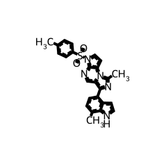 Cc1ccc(S(=O)(=O)n2ccc3c2ncc2c(-c4ccc(C)c5[nH]ccc45)nc(C)n23)cc1